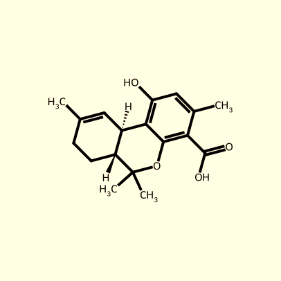 CC1=C[C@H]2c3c(O)cc(C)c(C(=O)O)c3OC(C)(C)[C@@H]2CC1